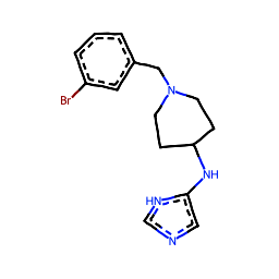 Brc1cccc(CN2CCC(Nc3cnc[nH]3)CC2)c1